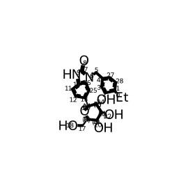 CCc1ccc(Cn2c(=O)[nH]c3ccc([C@@H]4O[C@H](CO)[C@@H](O)[C@H](O)[C@H]4O)cc32)cc1